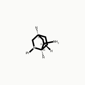 CC(C)N1C[C@H]2CC[C@@H]1[C@@H](N)C2